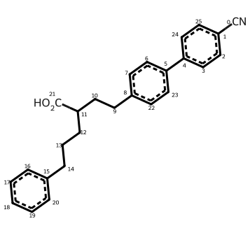 N#Cc1ccc(-c2ccc(CCC(CCCc3ccccc3)C(=O)O)cc2)cc1